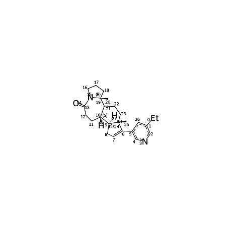 CCc1cncc(C2=CC[C@H]3[C@@H]4CCC(=O)N5CCC[C@]5(C)C4CC[C@]23C)c1